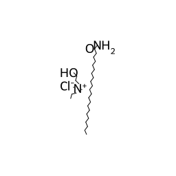 CCCCCCCCCCCCCCCCCCCCCC(N)=O.CCC[N+](C)(C)CCCO.[Cl-]